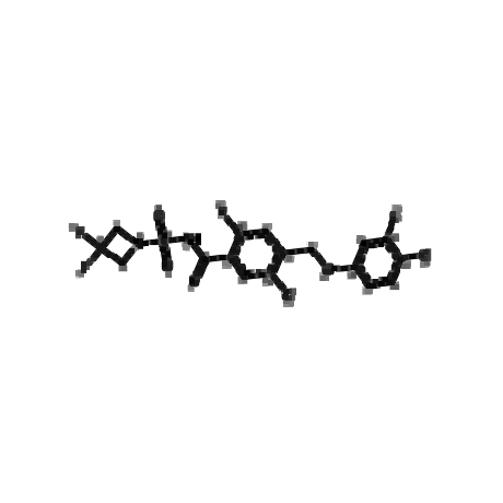 O=C(NS(=O)(=O)N1CC(F)(F)C1)c1cc(Cl)c(COc2ccc(Cl)c(Cl)c2)cc1F